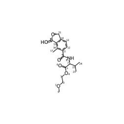 COCCOC(=O)[C@@H](NC(=O)c1ccc2c(c1C)B(O)OC2)C(C)C